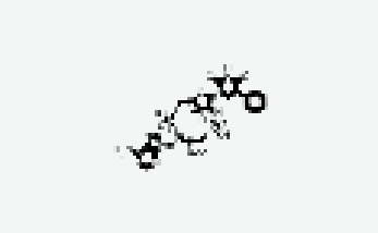 CO[C@@H]1COP(=O)(S)O[C@@H]2[C@H](F)[C@@H](COP(=O)(O)O[C@H]1Cn1cnc3c(N)ncnc31)O[C@H]2n1cc(-c2ccccc2)c(=O)[nH]c1=O